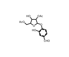 CC(=O)OCC1OC(Oc2ccc(C=O)cc2O)C(OC(C)=O)C1O